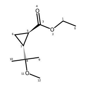 CCOC(=O)[C@@H]1C[C@H]1C(C)(C)OC